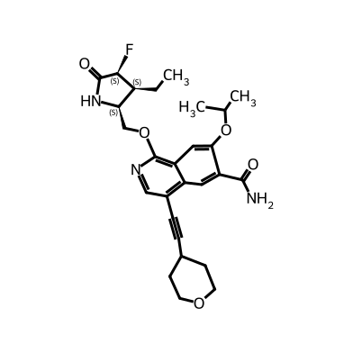 CC[C@@H]1[C@H](F)C(=O)N[C@@H]1COc1ncc(C#CC2CCOCC2)c2cc(C(N)=O)c(OC(C)C)cc12